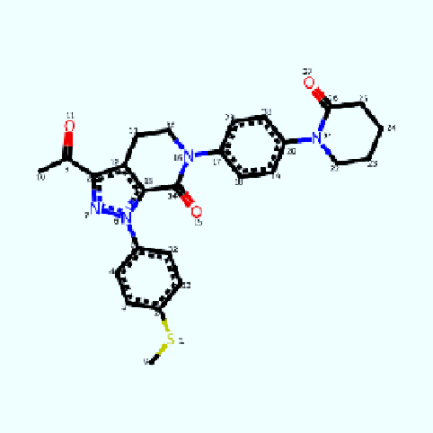 CSc1ccc(-n2nc(C(C)=O)c3c2C(=O)N(c2ccc(N4CCCCC4=O)cc2)CC3)cc1